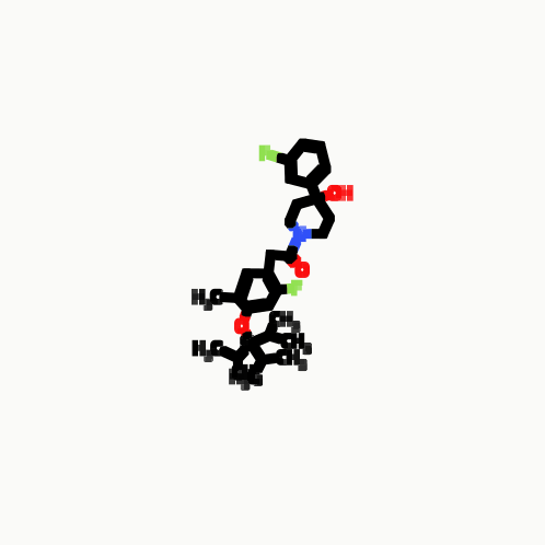 Cc1cc(CC(=O)N2CCC(O)(c3cccc(F)c3)CC2)c(F)cc1O[Si](C(C)C)(C(C)C)C(C)C